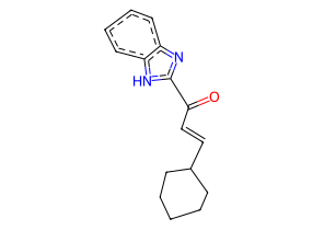 O=C(C=CC1CCCCC1)c1nc2ccccc2[nH]1